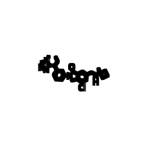 CCC(c1cccc(N2Cc3c(Cl)cc(CNC4(C)CCC4)cc3C2=O)c1)c1nncn1C